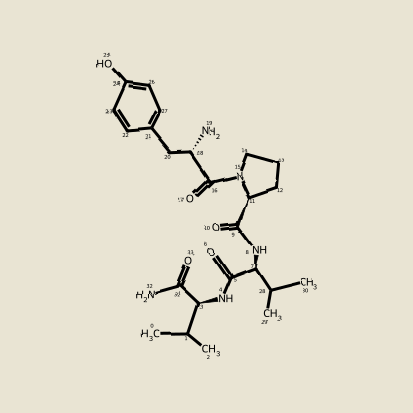 CC(C)[C@H](NC(=O)[C@@H](NC(=O)[C@@H]1CCCN1C(=O)[C@@H](N)Cc1ccc(O)cc1)C(C)C)C(N)=O